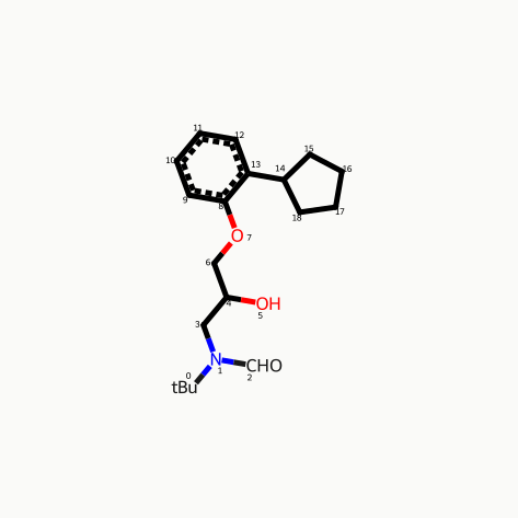 CC(C)(C)N(C=O)CC(O)COc1ccccc1C1CCCC1